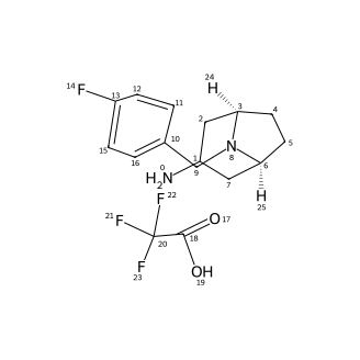 NC1C[C@H]2CC[C@@H](C1)N2Cc1ccc(F)cc1.O=C(O)C(F)(F)F